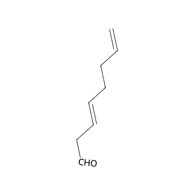 C=CCCC=CCC=O